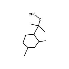 CC1CCC(C(C)(C)OC=O)C(C)C1